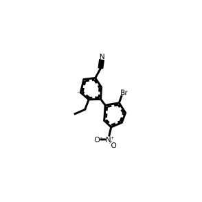 CCc1[c]cc(C#N)cc1-c1cc([N+](=O)[O-])ccc1Br